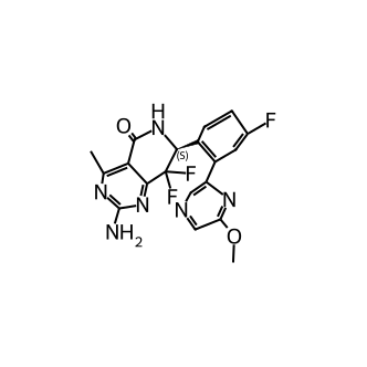 COc1cncc(-c2cc(F)ccc2[C@@H]2NC(=O)c3c(C)nc(N)nc3C2(F)F)n1